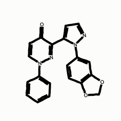 O=c1ccn(-c2ccccc2)nc1-c1ccnn1-c1ccc2c(c1)OCO2